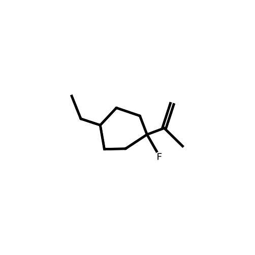 C=C(C)C1(F)CCC(CC)CC1